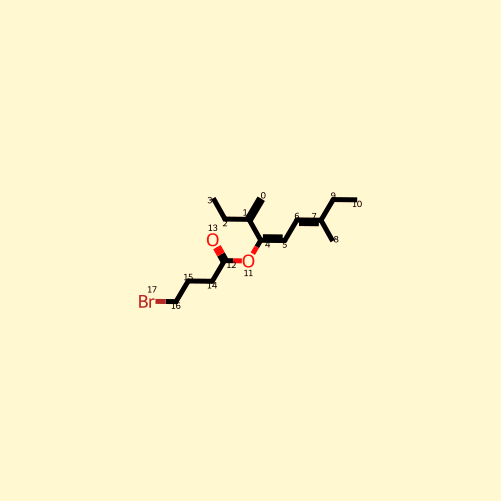 C=C(CC)/C(=C\C=C(/C)CC)OC(=O)CCCBr